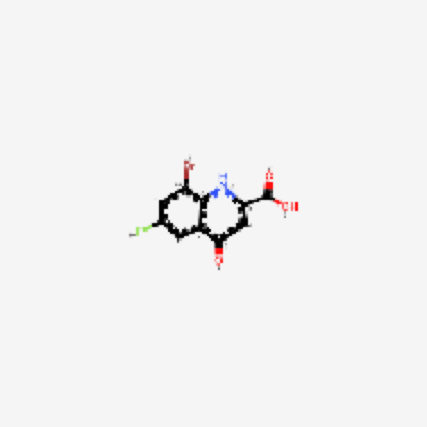 O=C(O)c1cc(=O)c2cc(F)cc(Br)c2[nH]1